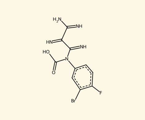 N=C(N)C(=N)C(=N)N(C(=O)O)c1ccc(F)c(Br)c1